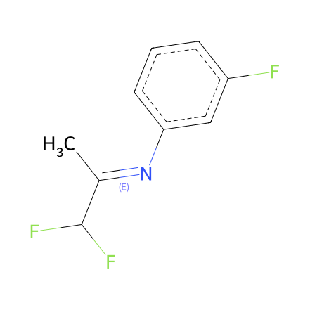 C/C(=N\c1cccc(F)c1)C(F)F